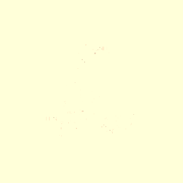 COc1c(OCCN2CC[C@@H](N)C2)ccc(C=Cc2n[nH]c3ccccc23)c1-c1csc(C(N)=O)c1C